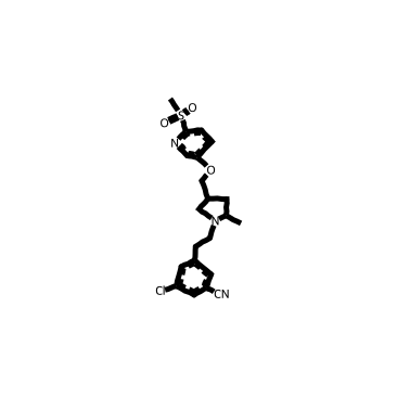 CC1CC(COc2ccc(S(C)(=O)=O)nc2)CN1CCc1cc(Cl)cc(C#N)c1